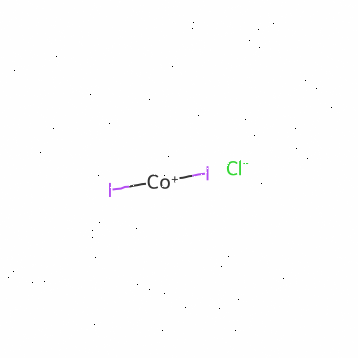 [Cl-].[I][Co+][I]